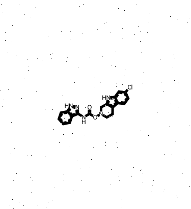 O=C(Nc1n[nH]c2ccccc12)ON1CCc2c([nH]c3cc(Cl)ccc23)C1